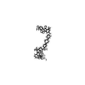 CN(c1ncccc1CNc1nc(Nc2ccc(N3CCC(N4CCN(Cc5cc(Br)c6c(c5)C(=O)N(C5CCC(=O)NC5=O)C6=O)CC4)CC3)cc2)ncc1C(F)(F)F)S(C)(=O)=O